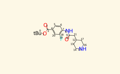 CC(C)(C)OC(=O)c1ccc(NC(=O)CC2CCNCC2)c(F)c1